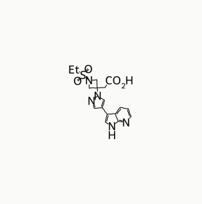 CCS(=O)(=O)N1CC(CC(=O)O)(n2cc(-c3c[nH]c4ncccc34)cn2)C1